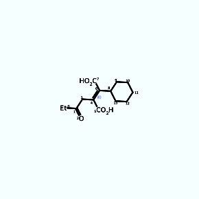 CCC(=O)C/C(C(=O)O)=C(\C(=O)O)C1CCCCC1